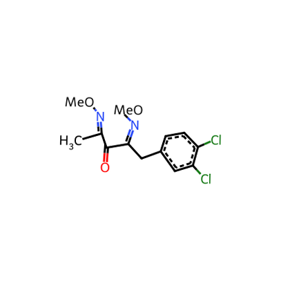 CON=C(C)C(=O)C(Cc1ccc(Cl)c(Cl)c1)=NOC